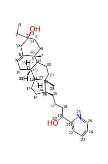 CC[C@]1(O)CC[C@@]2(C)C(=CC[C@H]3[C@@H]4CC[C@H](CCCC(O)c5ccccn5)[C@@]4(C)CC[C@@H]32)C1